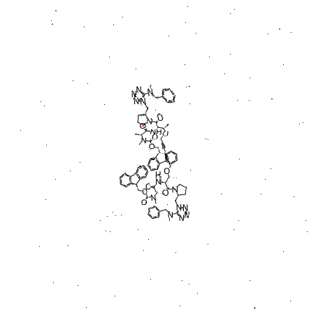 C[C@@H](OCC#CC#CCO[C@H](C)[C@H](NC(=O)[C@H](C)N(C)C(=O)OCC1c2ccccc2-c2ccccc21)C(=O)N1CCC[C@H]1Cn1nnnc1N(C)Cc1ccccc1)[C@H](NC(=O)[C@H](C)N(C)C(=O)OCC1c2ccccc2-c2ccccc21)C(=O)N1CCC[C@H]1Cn1nnnc1N(C)Cc1ccccc1